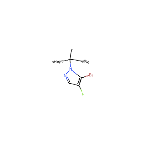 CCCCCCCC(C)(CCCC)n1ncc(F)c1Br